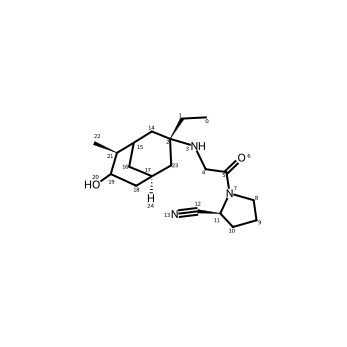 CC[C@]1(NCC(=O)N2CCC[C@H]2C#N)CC2C[C@H](CC(O)[C@H]2C)C1